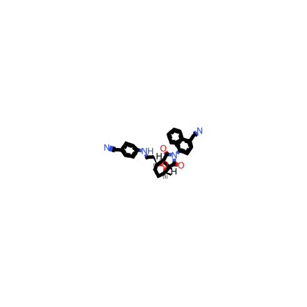 C[C@@]12CC[C@@](CCNc3ccc(C#N)cc3)(O1)[C@H]1C(=O)N(c3ccc(C#N)c4ccccc34)C(=O)[C@H]12